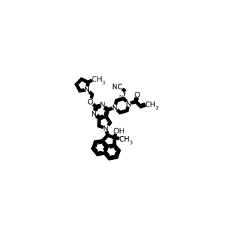 C=CC(=O)N1CCN(c2nc(OCN3CCCC3C)nc3c2CN(C2c4cccc5cccc(c45)C2(C)O)C3)C[C@@H]1CC#N